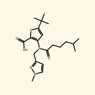 CC(C)CCCC(=O)N(Cc1ccn(C)n1)c1cc(C(C)(C)C)sc1C(=O)O